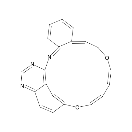 C1=C\OC/C=c2/cccc/c2=N/c2ncnc3ccc(cc23)O\C=C/1